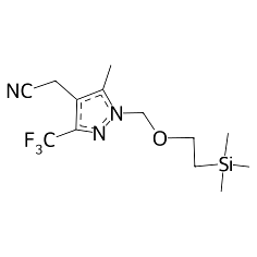 Cc1c(CC#N)c(C(F)(F)F)nn1COCC[Si](C)(C)C